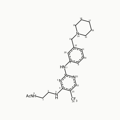 CC(=O)NCCNc1nc(Nc2cccc(CN3CCCCC3)c2)ncc1C(F)(F)F